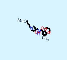 COCCCCN1CCC(O)(CNC(=O)c2cc(C)cc3c2OCCCO3)CC1